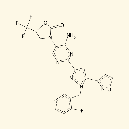 Nc1nc(-c2cc(-c3ccon3)n(Cc3ccccc3F)n2)ncc1N1CC(C(F)(F)F)OC1=O